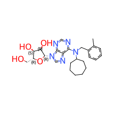 Cc1ccccc1CN(c1ncnc2c1ncn2[C@@H]1O[C@H](CO)[C@@H](O)[C@H]1O)C1CCCCCC1